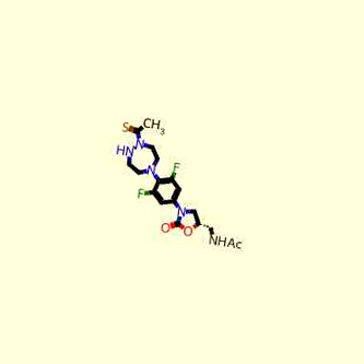 CC(=O)NC[C@H]1CN(c2cc(F)c(N3CCNN(C(C)=S)CC3)c(F)c2)C(=O)O1